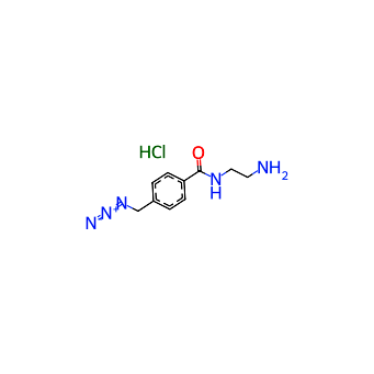 Cl.[N-]=[N+]=NCc1ccc(C(=O)NCCN)cc1